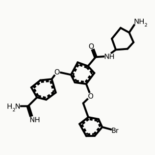 N=C(N)c1ccc(Oc2cc(OCc3cccc(Br)c3)cc(C(=O)NC3CCC(N)CC3)c2)cc1